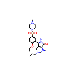 CCCN1CC2=C(C(=O)NC2c2cc(S(=O)(=O)N3CCN(C)CC3)ccc2OCC)N(C)C1